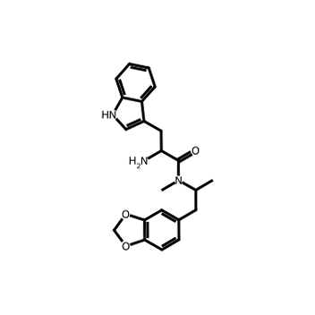 CC(Cc1ccc2c(c1)OCO2)N(C)C(=O)C(N)Cc1c[nH]c2ccccc12